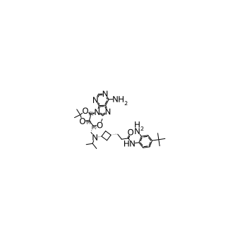 CO[C@H](CN(C(C)C)[C@H]1C[C@@H](CCC(=O)Nc2ccc(C(C)(C)C)cc2N)C1)[C@H]1OC(C)(C)O[C@H]1n1cnc2c(N)ncnc21